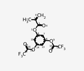 C=C(C)C(=O)Oc1cc(OC(=O)C(F)(F)F)cc(OC(=O)C(F)(F)F)c1